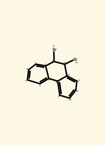 BrC1c2ccccc2-c2ccccc2C1Br